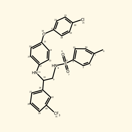 Cc1ccc(S(=O)(=O)NCC(Nc2ccc(Oc3ccc(Cl)cc3)cc2)c2cccc(C(F)(F)F)c2)cc1